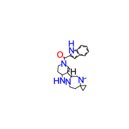 [2H]C12CN(C)C3(CCN1NC1CCN(C(=O)c4cc5ccccc5[nH]4)CC12)CC3